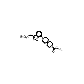 CCOC(=O)Cc1noc2c(N3CCC4(CCN(C(=O)OC(C)(C)C)CC4)CC3)cccc12